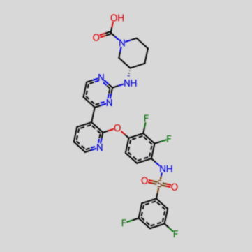 O=C(O)N1CCC[C@H](Nc2nccc(-c3cccnc3Oc3ccc(NS(=O)(=O)c4cc(F)cc(F)c4)c(F)c3F)n2)C1